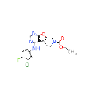 CCOC(=O)N1CCc2c(oc3ncnc(Nc4ccc(F)c(Cl)c4)c23)C1